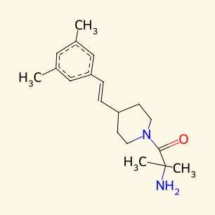 Cc1cc(C)cc(/C=C/C2CCN(C(=O)C(C)(C)N)CC2)c1